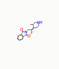 CC1CNCC/C1=C(\F)CN1C(=O)c2ccccc2C1=O